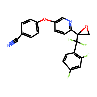 N#Cc1ccc(Oc2ccc(C3(C(F)(F)c4ccc(F)cc4F)CO3)nc2)cc1